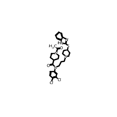 CC(=O)N1CCC(C(=O)N(CCCN2CCC(Sc3nc4ccccc4[nH]3)CC2)c2ccc(Cl)c(Cl)c2)CC1